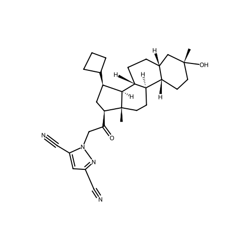 C[C@@]1(O)CC[C@H]2[C@H](CC[C@@H]3[C@@H]2CC[C@@]2(C)[C@H]3[C@H](C3CCC3)C[C@@H]2C(=O)Cn2nc(C#N)cc2C#N)C1